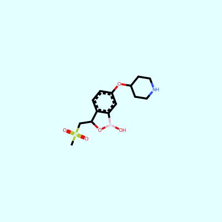 CS(=O)(=O)CC1OB(O)c2cc(OC3CCNCC3)ccc21